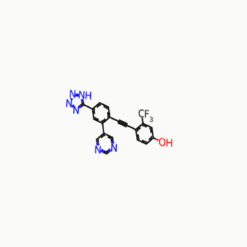 Oc1ccc(C#Cc2ccc(-c3nnn[nH]3)cc2-c2cncnc2)c(C(F)(F)F)c1